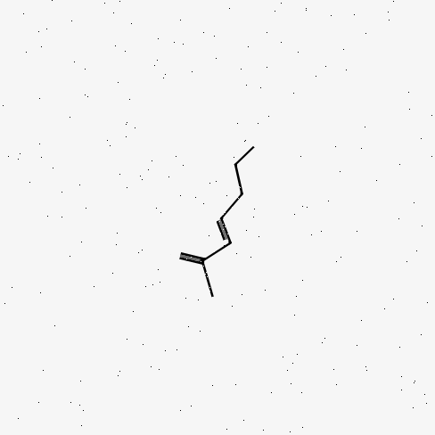 CC(=O)C=CCCCl